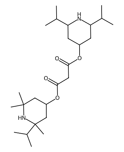 CC(C)C1CC(OC(=O)CC(=O)OC2CC(C)(C)NC(C)(C(C)C)C2)CC(C(C)C)N1